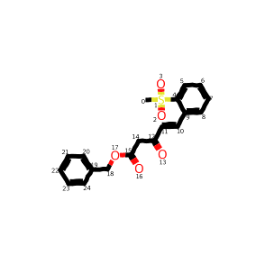 CS(=O)(=O)c1ccccc1C=CC(=O)CC(=O)OCc1ccccc1